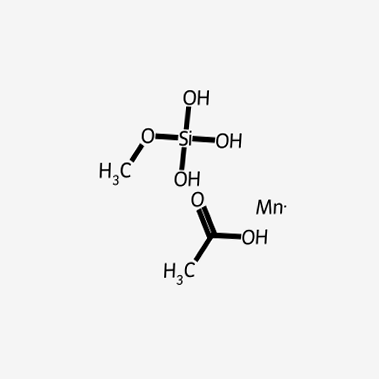 CC(=O)O.CO[Si](O)(O)O.[Mn]